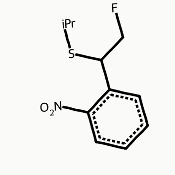 CC(C)SC(CF)c1ccccc1[N+](=O)[O-]